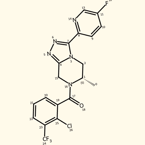 C[C@H]1Cn2c(nnc2-c2ccc(F)cn2)CN1C(=O)c1cccc(C(F)(F)F)c1Cl